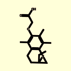 CCC12CCc3c(C)c(OCC(=O)O)c(C)c(C)c3N1C2